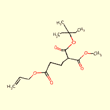 C=CCOC(=O)CCC(C(=O)OC)C(=O)OC(C)(C)C